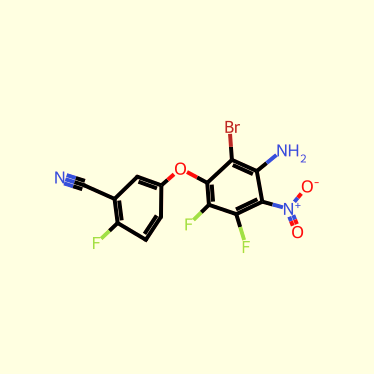 N#Cc1cc(Oc2c(F)c(F)c([N+](=O)[O-])c(N)c2Br)ccc1F